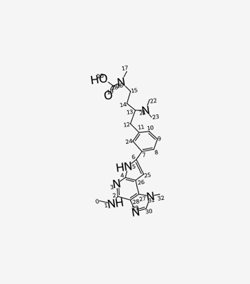 CNc1nc2[nH]c(-c3cccc(CC(CCN(C)C(=O)O)N(C)C)c3)cc2c2c1ncn2C